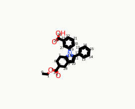 CCOC(=O)C1CCc2c(cc(-c3ccccc3)n2-c2cccc(C(=O)O)c2)C1